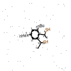 CCCCCCc1cc(CCCC)c(C(C)S)c(C(C)S)c1